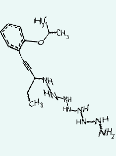 CCC(C#Cc1ccccc1OC(C)C)NNNNNNNN